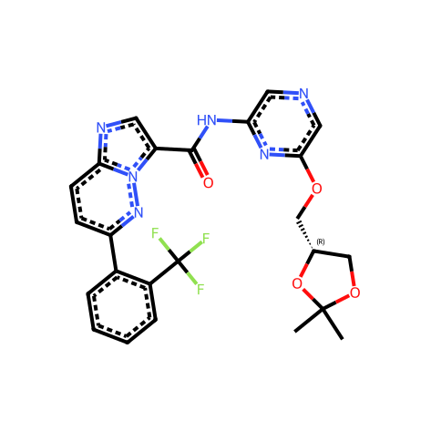 CC1(C)OC[C@@H](COc2cncc(NC(=O)c3cnc4ccc(-c5ccccc5C(F)(F)F)nn34)n2)O1